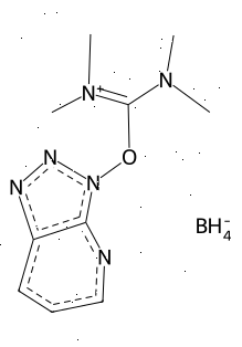 CN(C)C(On1nnc2cccnc21)=[N+](C)C.[BH4-]